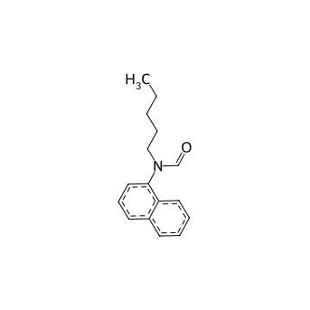 CCCCCN(C=O)c1cccc2ccccc12